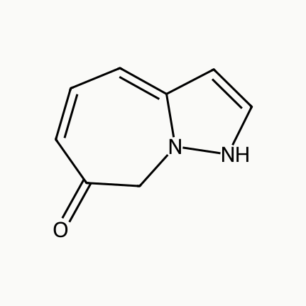 O=C1C=CC=C2C=CNN2C1